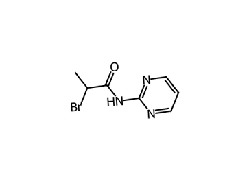 CC(Br)C(=O)Nc1ncccn1